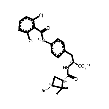 CC(=O)[C@@H]1C[C@H](C(=O)N[C@@H](Cc2ccc(NC(=O)c3c(Cl)cccc3Cl)cc2)C(=O)O)C1(C)C